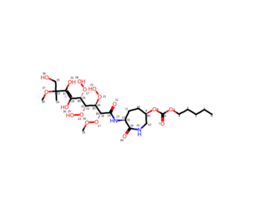 CCCCCOC(=O)O[C@@H]1CC[C@H](NC(=O)[C@H](OOC)[C@H](OO)[C@H](OO)[C@@H](OO)/C(O)=C(\O)C(C)(CO)OC)C(=O)NC1